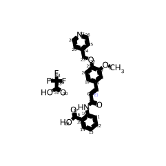 COc1cc(/C=C/C(=O)Nc2ccccc2C(=O)O)ccc1OCc1ccncc1.O=C(O)C(F)(F)F